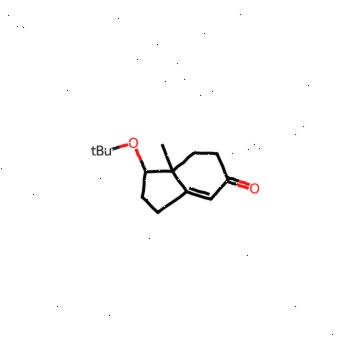 CC(C)(C)OC1CCC2=CC(=O)CCC21C